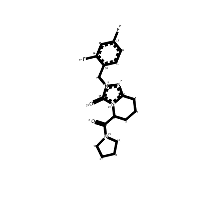 O=C(C1CCCc2nn(Cc3ccc(F)cc3F)c(=O)n21)N1CCCC1